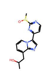 CC(O)Cc1cccn2c(-c3ccnc([S+](C)[O-])n3)cnc12